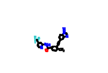 Cc1ccc(C(=O)Nc2cc(C(F)(F)F)ccn2)cc1C#Cc1ccc2[nH]cnc2c1